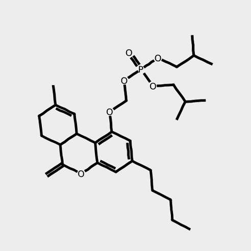 C=C1Oc2cc(CCCCC)cc(OCOP(=O)(OCC(C)C)OCC(C)C)c2C2C=C(C)CCC12